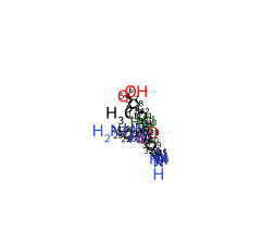 Cc1cc(C(=O)O)ccc1-c1ccc(C[C@H](NC(=O)[C@H]2CC[C@H](CN)CC2)C(=O)Nc2ccc(-c3nn[nH]n3)cc2)cc1.Cl